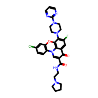 O=C(NCCN1CCCC1)c1cn2c3c(c(N4CCN(c5ncccn5)CC4)c(F)cc3c1=O)Oc1cc(Cl)ccc1-2